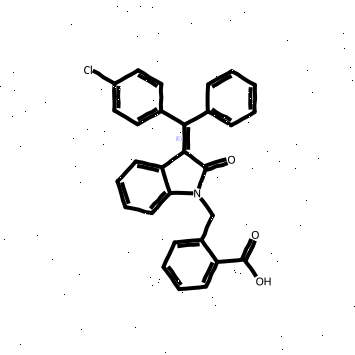 O=C(O)c1ccccc1CN1C(=O)/C(=C(\c2ccccc2)c2ccc(Cl)cc2)c2ccccc21